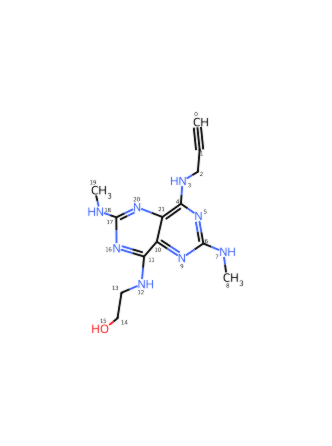 C#CCNc1nc(NC)nc2c(NCCO)nc(NC)nc12